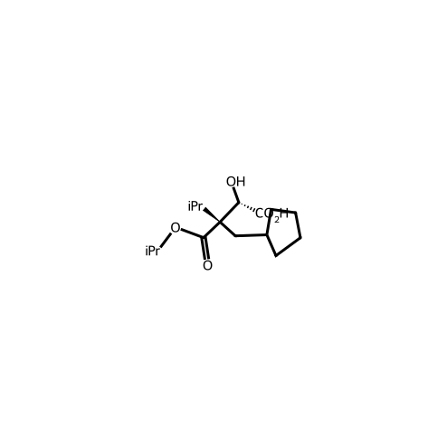 CC(C)OC(=O)[C@](CC1CCCC1)(C(C)C)[C@H](O)C(=O)O